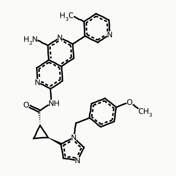 COc1ccc(Cn2cncc2[C@H]2C[C@@H]2C(=O)Nc2cc3cc(-c4cnccc4C)nc(N)c3cn2)cc1